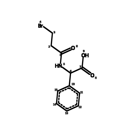 O=C(CCBr)NC(C(=O)O)c1ccccc1